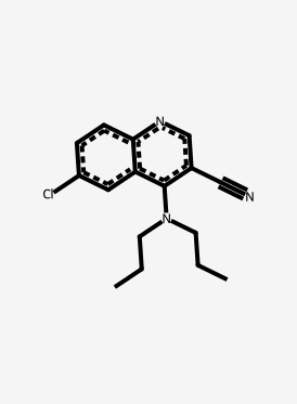 CCCN(CCC)c1c(C#N)cnc2ccc(Cl)cc12